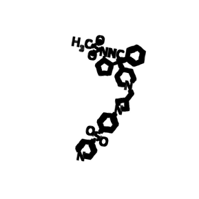 CS(=O)(=O)N[C@H]1CCC[C@@H]1C(C#N)(c1ccccc1)C1CCN(CC2CN(c3ccc(S(=O)(=O)c4ccncc4)cc3)C2)CC1